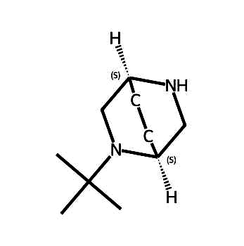 CC(C)(C)N1C[C@@H]2CC[C@H]1CN2